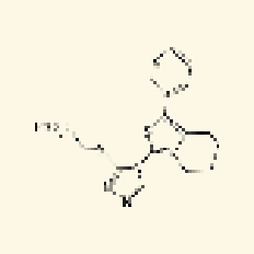 CCOC(=O)CSc1nncn1-c1sc(-c2ccccc2)c2c1CCCC2